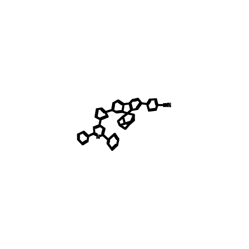 N#Cc1ccc(-c2ccc3c(c2)C2(c4cc(-c5cccc(-c6cc(-c7ccccc7)nc(-c7ccccc7)c6)c5)ccc4-3)C3CC4CC(C3)CC2C4)cc1